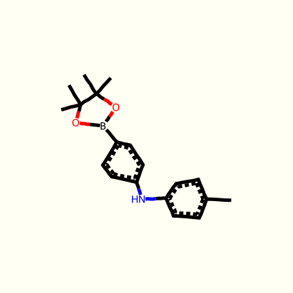 Cc1ccc(Nc2ccc(B3OC(C)(C)C(C)(C)O3)cc2)cc1